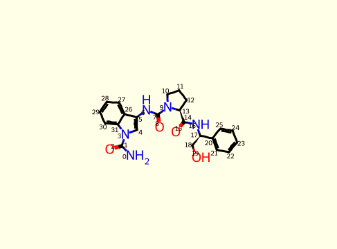 NC(=O)n1cc(NC(=O)N2CCC[C@H]2C(=O)N[C@H](CO)c2ccccc2)c2ccccc21